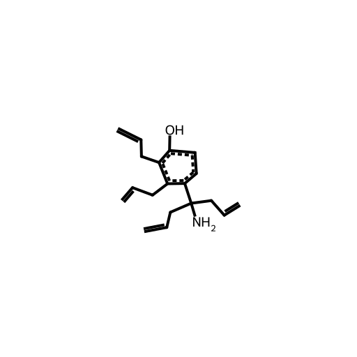 C=CCc1c(O)ccc(C(N)(CC=C)CC=C)c1CC=C